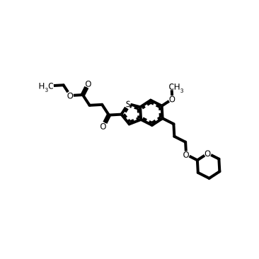 CCOC(=O)CCC(=O)c1cc2cc(CCCOC3CCCCO3)c(OC)cc2s1